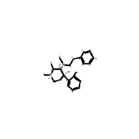 Cc1ccccc1[C@@]1(C)CCN(C)C(C)[C@@H]1N(C)CCc1ccccc1